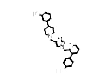 Oc1ccc(-c2cccnc2Cn2cc(CN3CCC(c4cccc(O)c4)CC3)nn2)cc1